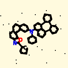 c1ccc(-c2nc3ccc4ccc5ccc(N(c6ccccc6)c6ccc7c8c(cccc68)-c6ccccc6-c6ccccc6-7)cc5c4c3o2)cc1